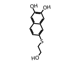 OCCSc1ccc2cc(O)c(O)cc2c1